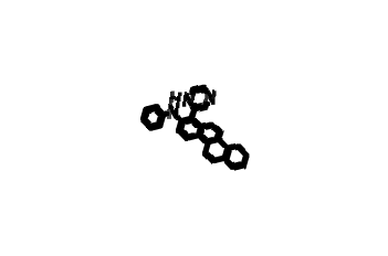 C1=CC2=C(CC1)c1ccc3c(-c4cnccn4)c(Nc4ccccc4)ccc3c1CC2